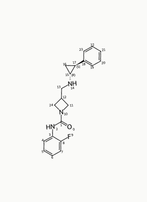 O=C(Nc1ccccc1F)N1CC(CN[C@@H]2C[C@H]2c2ccccc2)C1